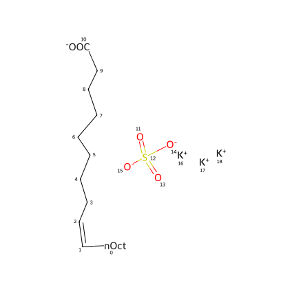 CCCCCCCC/C=C\CCCCCCCC(=O)[O-].O=S(=O)([O-])[O-].[K+].[K+].[K+]